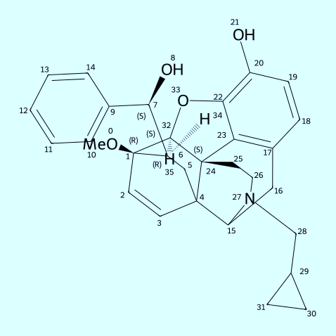 CO[C@]12C=CC3(C[C@@H]1[C@H](O)c1ccccc1)C1Cc4ccc(O)c5c4[C@@]3(CCN1CC1CC1)[C@@H]2O5